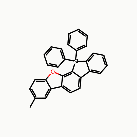 Cc1ccc2oc3c4c(ccc3c2c1)-c1ccccc1[Si]4(c1ccccc1)c1ccccc1